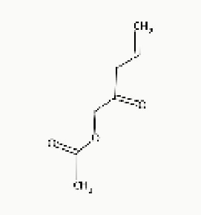 C=CCC(=O)COC(C)=O